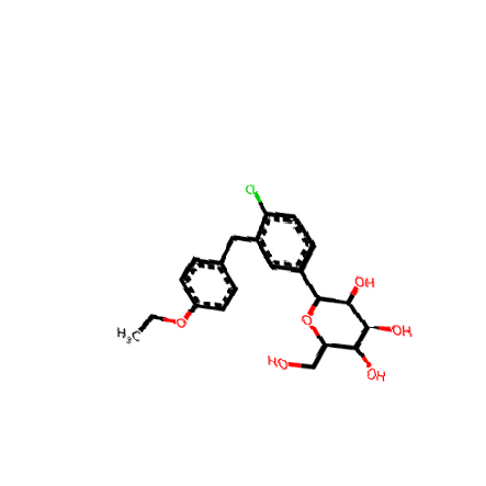 CCOc1ccc(Cc2cc(C3OC(CO)C(O)[C@H](O)C3O)ccc2Cl)cc1